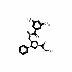 CN(C[C@H]1CN(C(=O)OC(C)(C)C)C[C@H]1c1ccccc1)C(=O)c1cc(C(F)(F)F)cc(C(F)(F)F)c1